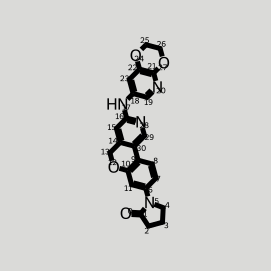 O=C1CCCN1c1ccc2c(c1)OCc1cc(Nc3cnc4c(c3)OCCO4)ncc1-2